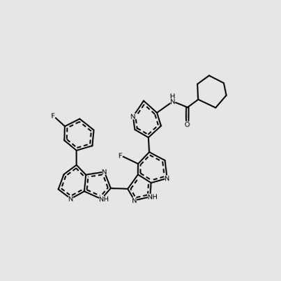 O=C(Nc1cncc(-c2cnc3[nH]nc(-c4nc5c(-c6cccc(F)c6)ccnc5[nH]4)c3c2F)c1)C1CCCCC1